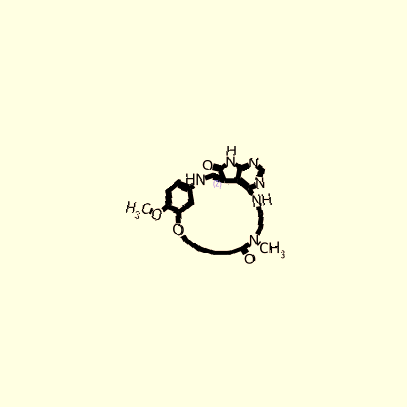 COC1=CC=C2CC1OCCCCC(=O)N(C)CCNc1ncnc3c1/C(=C/N2)C(=O)N3